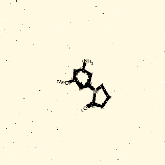 COc1cc(N)cc(N2CCCC2=O)c1